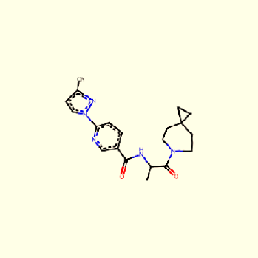 CC(NC(=O)c1ccc(-n2ccc(C#N)n2)nc1)C(=O)N1CCC2(CC1)CC2